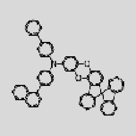 c1ccc(-c2ccc(N(c3ccc(-c4cccc5ccccc45)cc3)c3ccc4c(c3)Oc3c(ccc5c3-c3ccccc3C53c5ccccc5-c5ccccc53)O4)cc2)cc1